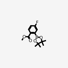 COC(=O)c1ccc(F)cc1B1OC(C)(C)C(C)(C)O1